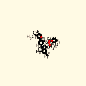 COc1cccc(OC)c1OC(=O)O[C@H](c1cc(C(F)(F)F)cc(C(F)(F)F)c1)[C@H](C)N(CC1(OC)CC(C(F)(F)F)=CC=C1c1ccc(F)c(C(C)C)c1)C(=O)OC(C)(C)C